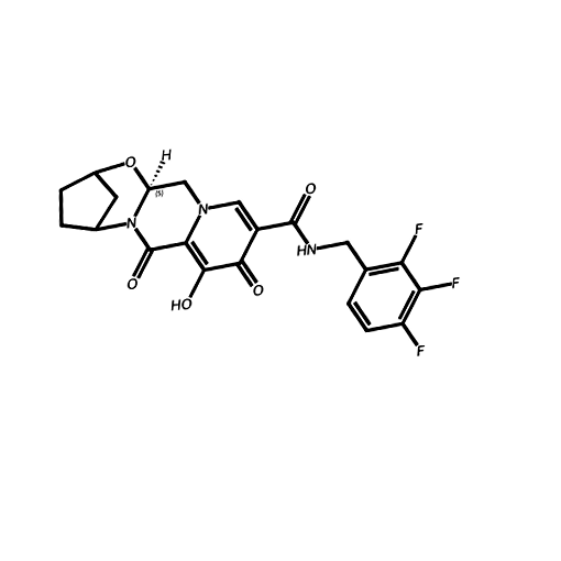 O=C(NCc1ccc(F)c(F)c1F)c1cn2c(c(O)c1=O)C(=O)N1C3CCC(C3)O[C@H]1C2